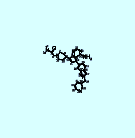 CN(C)C(=O)CN1CCC(c2cc(-c3ccc4cn(Cc5cccnc5)nc4c3)c3c(N)ncnn23)CC1